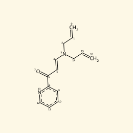 C=CCN(C=CC(=O)c1ccccn1)CC=C